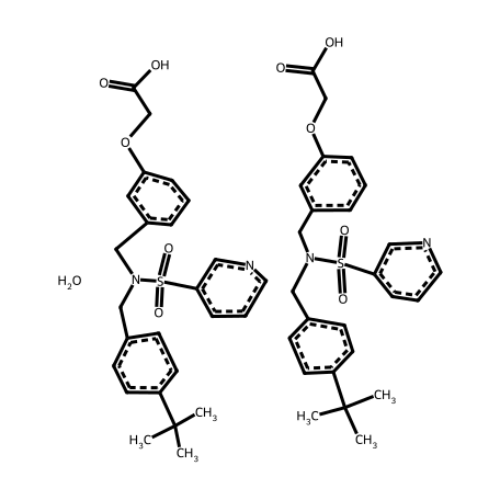 CC(C)(C)c1ccc(CN(Cc2cccc(OCC(=O)O)c2)S(=O)(=O)c2cccnc2)cc1.CC(C)(C)c1ccc(CN(Cc2cccc(OCC(=O)O)c2)S(=O)(=O)c2cccnc2)cc1.O